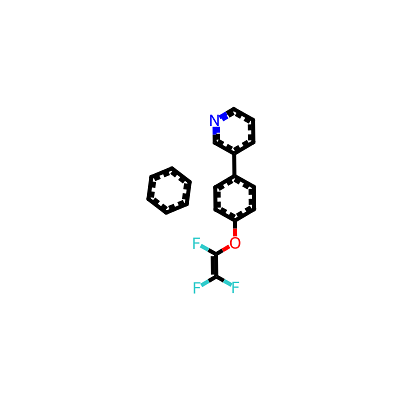 FC(F)=C(F)Oc1ccc(-c2cccnc2)cc1.c1ccccc1